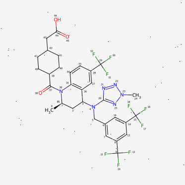 C[C@@H]1CC(N(Cc2cc(C(F)(F)F)cc(C(F)(F)F)c2)c2nnn(C)n2)c2cc(C(F)(F)F)ccc2N1C(=O)C1CCC(CC(=O)O)CC1